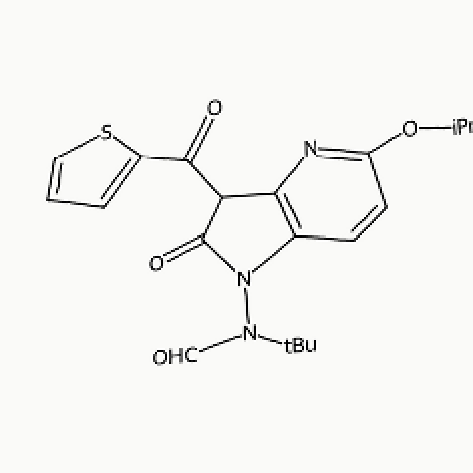 CC(C)Oc1ccc2c(n1)C(C(=O)c1cccs1)C(=O)N2N(C=O)C(C)(C)C